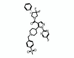 CS(=O)(=O)c1ccc(CN2CCC(c3c(C(=O)N4C[C@H](c5ccccc5)C(F)(F)C4)cnn3-c3ncc(F)cn3)CC2)cc1